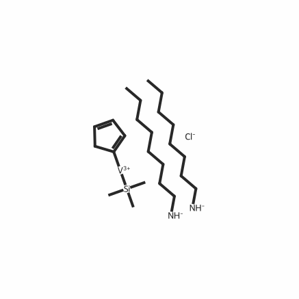 CCCCCCCC[NH-].CCCCCCCC[NH-].C[Si](C)(C)[V+3][C]1=CC=CC1.[Cl-]